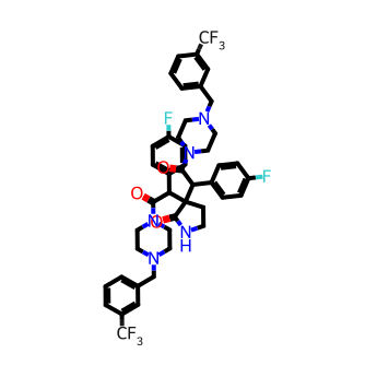 O=C(C(c1ccc(F)cc1)C1(C(C(=O)N2CCN(Cc3cccc(C(F)(F)F)c3)CC2)c2ccc(F)cc2)CCNC1=O)N1CCN(Cc2cccc(C(F)(F)F)c2)CC1